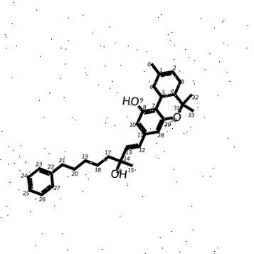 CC1=CCC2C(C1)c1c(O)cc(C=CC(C)(O)CCCCCc3ccccc3)cc1OC2(C)C